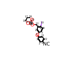 [C-]#[N+]c1ccc(Oc2ccc(I)c(COB3OCCCO3)c2)cc1